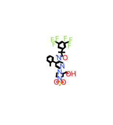 Cc1ccccc1-c1cc(N2CCN(S(C)(=O)=O)CC2CO)ncc1N(C)C(=O)C(C)(C)c1cc(C(F)(F)F)cc(C(F)(F)F)c1